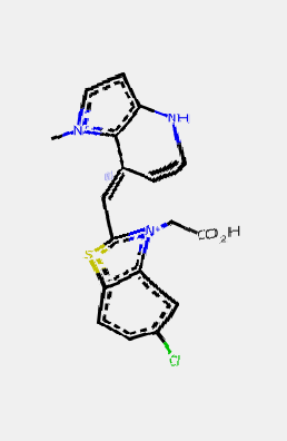 Cn1ccc2c1/C(=C/c1sc3ccc(Cl)cc3[n+]1CC(=O)O)C=CN2